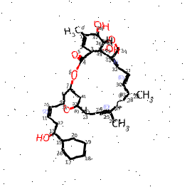 CC1=CC2C(=O)OC3CC(/C=C\CC(O)C4CCCCC4)O[C@H](C/C=C(\C)C[C@@H](C)/C=C/C=C4\CO[C@H](C1O)[C@@]42O)C3